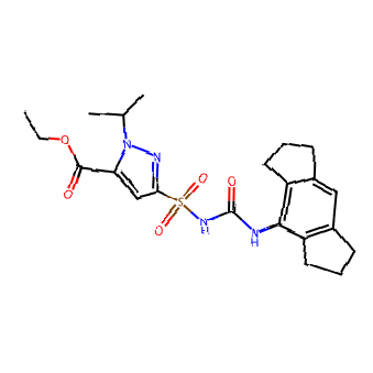 CCOC(=O)c1cc(S(=O)(=O)NC(=O)Nc2c3c(cc4c2CCC4)CCC3)nn1C(C)C